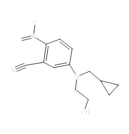 CCCN(CC1CC1)c1ccc([N+](=O)[O-])c(C#N)c1